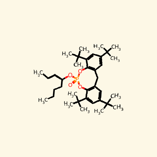 CCCCC(CCC)OP1(=O)Oc2c(cc(C(C)(C)C)cc2C(C)(C)C)Cc2cc(C(C)(C)C)cc(C(C)(C)C)c2O1